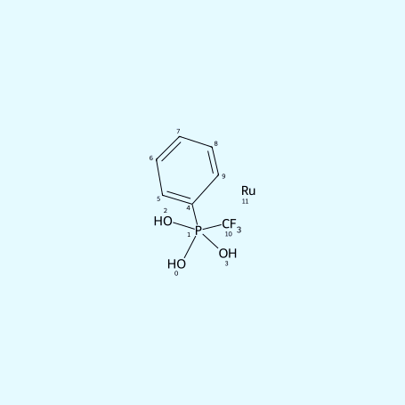 OP(O)(O)(c1ccccc1)C(F)(F)F.[Ru]